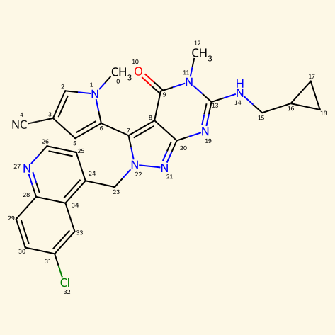 Cn1cc(C#N)cc1-c1c2c(=O)n(C)c(NCC3CC3)nc2nn1Cc1ccnc2ccc(Cl)cc12